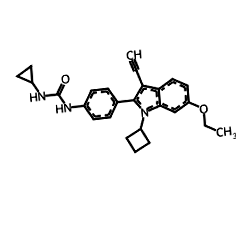 C#Cc1c(-c2ccc(NC(=O)NC3CC3)cc2)n(C2CCC2)c2cc(OCC)ccc12